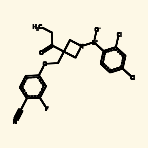 CCC(=O)C1(COc2ccc(C#N)c(F)c2)CN([S+]([O-])c2ccc(Cl)cc2Cl)C1